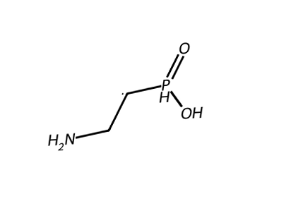 NC[CH][PH](=O)O